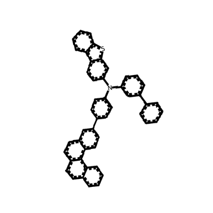 c1ccc(-c2cccc(N(c3ccc(-c4ccc5c(ccc6ccc7ccccc7c65)c4)cc3)c3ccc4c(c3)sc3ccccc34)c2)cc1